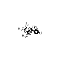 CCC(C)Oc1c(C)nn2c(-c3ccc(Cl)cc3Cl)c(C)oc12